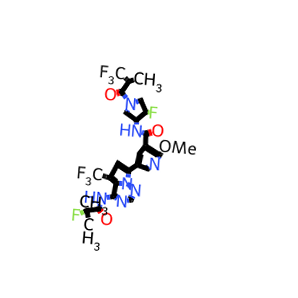 COc1ncc(-c2cc(C(F)(F)F)c3c(NC(=O)C(C)(C)F)ncnn23)cc1C(=O)NC1CN(C(=O)C(C)C(F)(F)F)CC1F